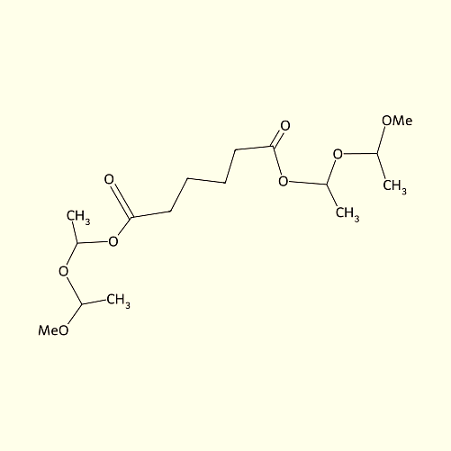 COC(C)OC(C)OC(=O)CCCCC(=O)OC(C)OC(C)OC